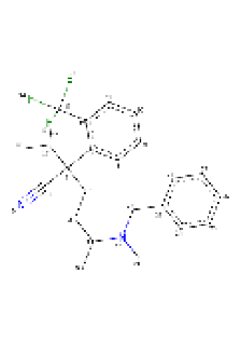 CC(CCC(C#N)(c1ccccc1C(F)(F)F)C(C)C)N(C)Cc1ccccc1